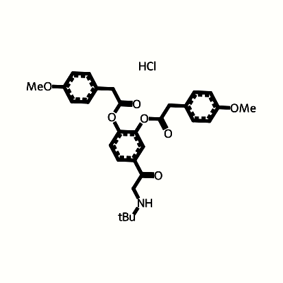 COc1ccc(CC(=O)Oc2ccc(C(=O)CNC(C)(C)C)cc2OC(=O)Cc2ccc(OC)cc2)cc1.Cl